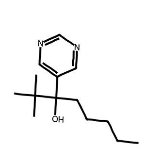 CCCCCC(O)(c1cncnc1)C(C)(C)C